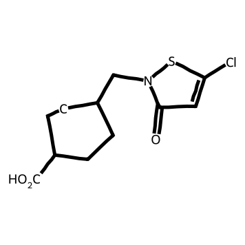 O=C(O)C1CCC(Cn2sc(Cl)cc2=O)CC1